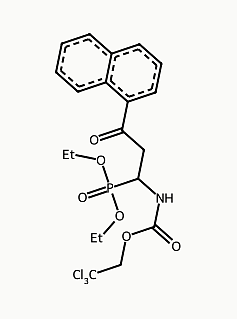 CCOP(=O)(OCC)C(CC(=O)c1cccc2ccccc12)NC(=O)OCC(Cl)(Cl)Cl